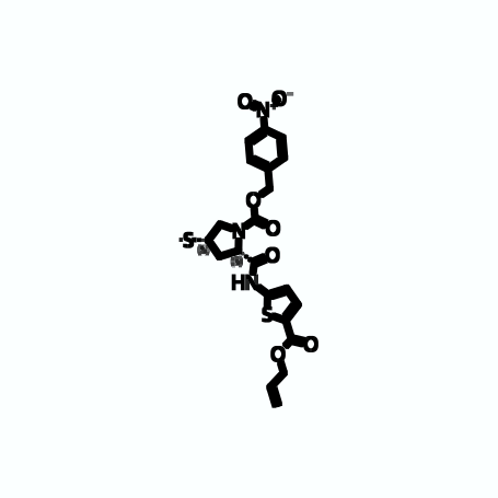 C=CCOC(=O)c1ccc(NC(=O)[C@@H]2C[C@H]([S])CN2C(=O)OCc2ccc([N+](=O)[O-])cc2)s1